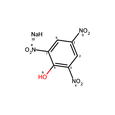 O=[N+]([O-])c1cc([N+](=O)[O-])c(O)c([N+](=O)[O-])c1.[NaH]